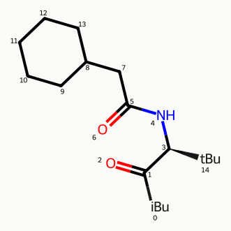 CCC(C)C(=O)[C@@H](NC(=O)CC1CCCCC1)C(C)(C)C